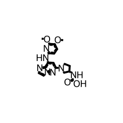 COc1ccc(Nc2cc(N3CCC(NC(=O)O)C3)nn3ccnc23)nc1OC